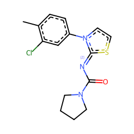 Cc1ccc(-n2ccs/c2=N\C(=O)N2CCCC2)cc1Cl